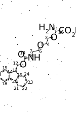 NC(OCCOCCNC(=O)OCC1c2ccccc2-c2ccccc21)C(=O)O